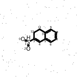 O=[SH](=O)C1=Cc2ccccc2CC1